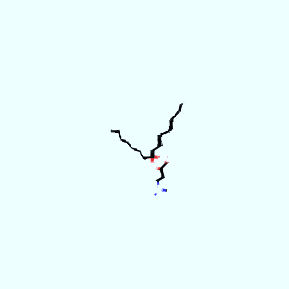 CN(C)CCC1COC(CCCCCCCC(=O)O)(CCCCCCCC(=O)O)O1